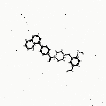 C=C(c1ccc(-c2cccc3cccnc23)cc1)N1CCN(Cc2cc(CC)ccc2OC)CC1